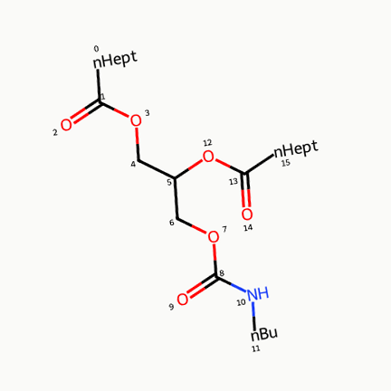 CCCCCCCC(=O)OCC(COC(=O)NCCCC)OC(=O)CCCCCCC